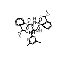 COC(=O)c1ccccc1S(=O)(=O)NN(C(=N)Nc1nc(C)cc(C)n1)S(=O)(=O)c1ccccc1C(=O)OC